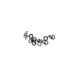 O=C(C[C@@H]1CCCN1S(=O)(=O)c1cccc(C(F)(F)F)c1)N[C@@H]1CCOc2cc(CN3CCCCC3)ccc21